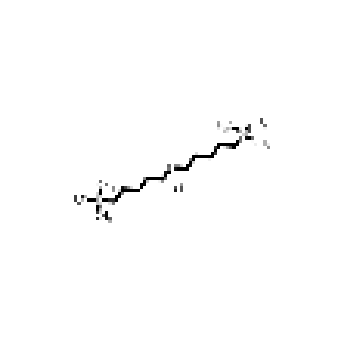 C[N+](C)(C)CCCCCOCCCCC[N+](C)(C)C.[Cl-].[Cl-]